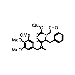 COc1cc(CN(C)C(=O)C(Cc2ccccc2)N(CC=O)C(=O)OC(C)(C)C)cc(OC)c1OC